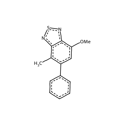 COc1cc(-c2ccccc2)c(C)c2nsnc12